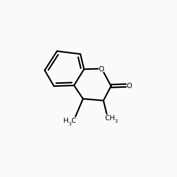 CC1C(=O)Oc2ccccc2C1C